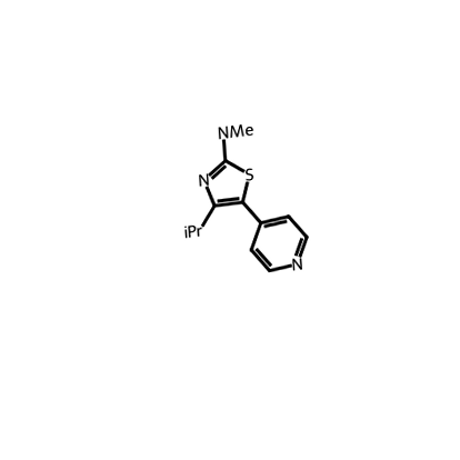 CNc1nc(C(C)C)c(-c2ccncc2)s1